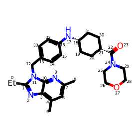 CCc1nc2c(C)cc(C)nc2n1Cc1ccc(N[C@H]2CC[C@@H](C(=O)N3CCOCC3)CC2)cc1